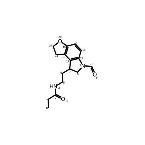 CCC(=O)NCCC1CN(C=O)c2ccc3c(c21)CCO3